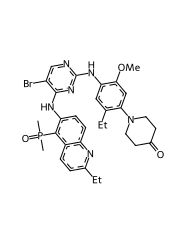 CCc1ccc2c(P(C)(C)=O)c(Nc3nc(Nc4cc(CC)c(N5CCC(=O)CC5)cc4OC)ncc3Br)ccc2n1